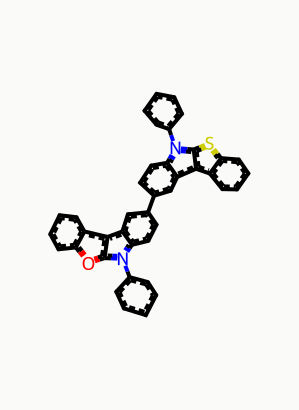 c1ccc(-n2c3ccc(-c4ccc5c(c4)c4c6ccccc6sc4n5-c4ccccc4)cc3c3c4ccccc4oc32)cc1